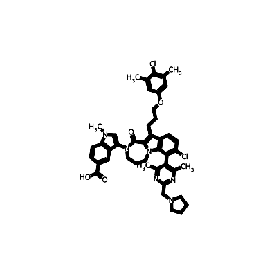 Cc1cc(OCCCc2c3n(c4c(-c5c(C)nc(CN6CCCC6)nc5C)c(Cl)ccc24)CCCN(c2cn(C)c4ccc(C(=O)O)cc24)C3=O)cc(C)c1Cl